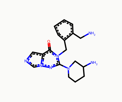 NCc1ccccc1Cn1c(N2CCCC(N)C2)nn2cncc2c1=O